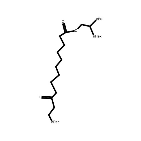 CCCCCCCCCCCCC(=O)CCCCCCCCC(=O)OCC(CCCC)CCCCCC